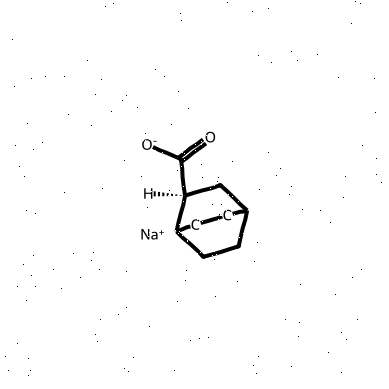 O=C([O-])[C@H]1CC2CCC1CC2.[Na+]